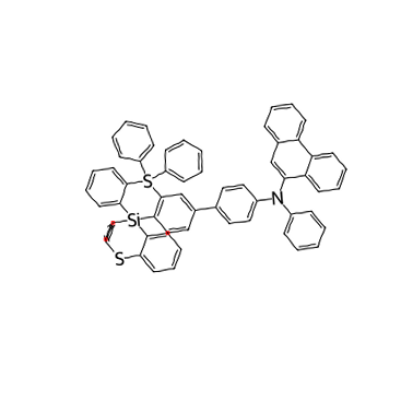 c1ccc(N(c2ccc(-c3ccc4c(c3)S(c3ccccc3)(c3ccccc3)c3ccccc3[Si]43c4ccccc4Sc4ccccc43)cc2)c2cc3ccccc3c3ccccc23)cc1